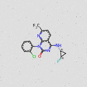 O=c1nc(N[C@@H]2C[C@H]2F)c2ccc(C(F)(F)F)nc2n1-c1ccccc1Cl